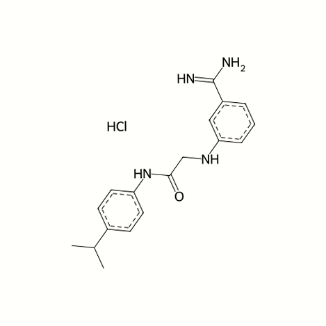 CC(C)c1ccc(NC(=O)CNc2cccc(C(=N)N)c2)cc1.Cl